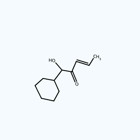 CC=CC(=O)C(O)C1CCCCC1